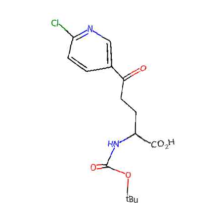 CC(C)(C)OC(=O)NC(CCC(=O)c1ccc(Cl)nc1)C(=O)O